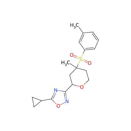 Cc1cccc(S(=O)(=O)C2(C)CCOC(c3noc(C4CC4)n3)C2)c1